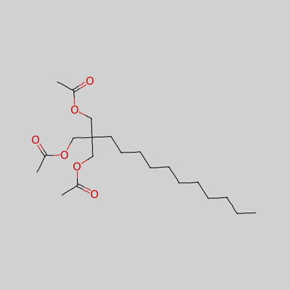 CCCCCCCCCCCC(COC(C)=O)(COC(C)=O)COC(C)=O